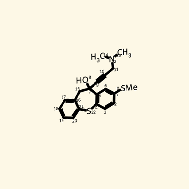 CSc1ccc2c(c1)C(O)(C#CCN(C)C)Cc1ccccc1S2